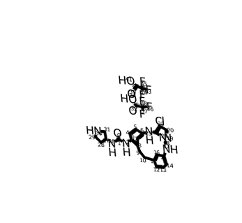 O=C(Nc1ccc2cc1CCc1cccc(c1)Nc1ncc(Cl)c(n1)N2)N[C@H]1CCNC1.O=C(O)C(F)(F)F.O=C(O)C(F)(F)F